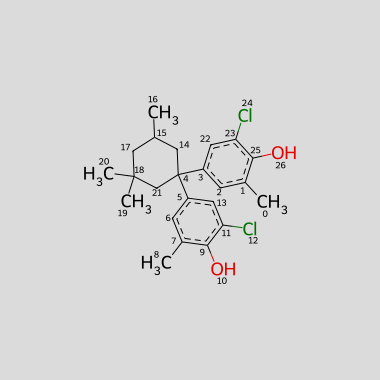 Cc1cc(C2(c3cc(C)c(O)c(Cl)c3)CC(C)CC(C)(C)C2)cc(Cl)c1O